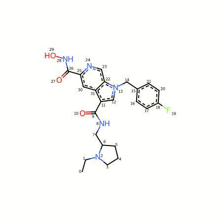 CCN1CCCC1CNC(=O)c1cn(Cc2ccc(F)cc2)c2cnc(C(=O)NO)cc12